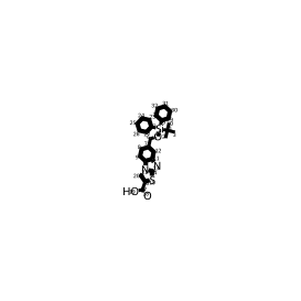 CC(C)(C)[Si](OCc1ccc2c(c1)nc1sc(C(=O)O)cn12)(c1ccccc1)c1ccccc1